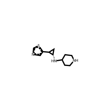 c1ncc(C2C[C@@H]2NC2CCNCC2)s1